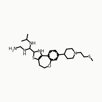 CSCCN1CCC(c2ccc3c(c2)OCCC2=C3NC(C(NCN)NC(C)C)S2)CC1